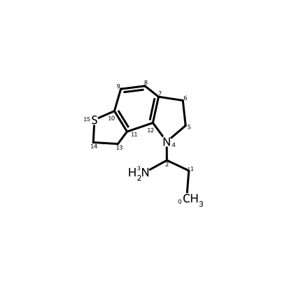 C[CH]C(N)N1CCc2ccc3c(c21)CCS3